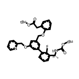 C[C@@H](NC(=O)OC(C)(C)C)c1cccc(-c2cc(COc3ccccc3CC(=O)OC(C)(C)C)cc(OCc3ccccn3)c2)c1F